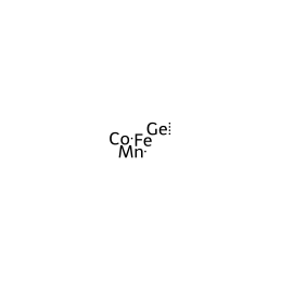 [Co].[Fe].[Ge].[Mn]